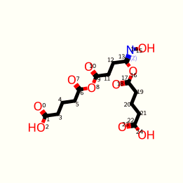 O=C(O)CCCC(=O)OC(=O)CC/C(=N/O)OC(=O)CCCC(=O)O